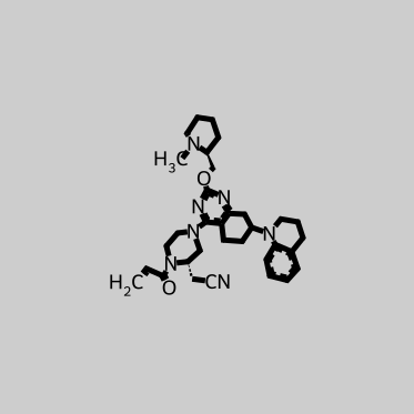 C=CC(=O)N1CCN(c2nc(OC[C@@H]3CCCCN3C)nc3c2CCC(N2CCCc4ccccc42)C3)C[C@@H]1CC#N